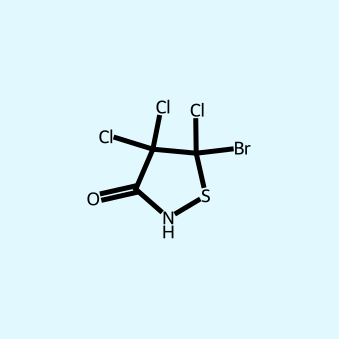 O=C1NSC(Cl)(Br)C1(Cl)Cl